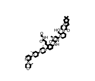 C[C@@H]1CC(N2CCN(c3ccc(Nc4nc(N5CCCC(N6CCn7c(cc8c7CC(C)(C)C8)C6=O)C5CO)cn(C)c4=O)cc3C=CC(=O)NC=O)[C@@H](C)C2)CCN1c1ccnc(N2CCOC[C@@H]2C)c1